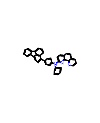 c1ccc(N(c2ccc(-c3ccc4c5c(cccc35)-c3ccccc3-4)cc2)c2ccc3ccc4cccnc4c3n2)cc1